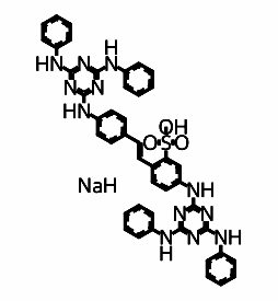 O=S(=O)(O)c1cc(Nc2nc(Nc3ccccc3)nc(Nc3ccccc3)n2)ccc1C=Cc1ccc(Nc2nc(Nc3ccccc3)nc(Nc3ccccc3)n2)cc1.[NaH]